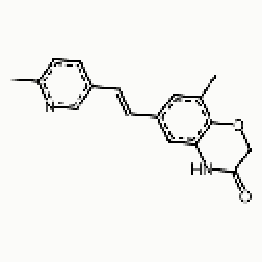 Cc1ccc(C=Cc2cc(C)c3c(c2)NC(=O)CO3)cn1